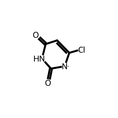 O=C1C=C(Cl)[N]C(=O)N1